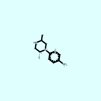 CC1CN(c2ccc(N)cn2)[C@H](C)CN1